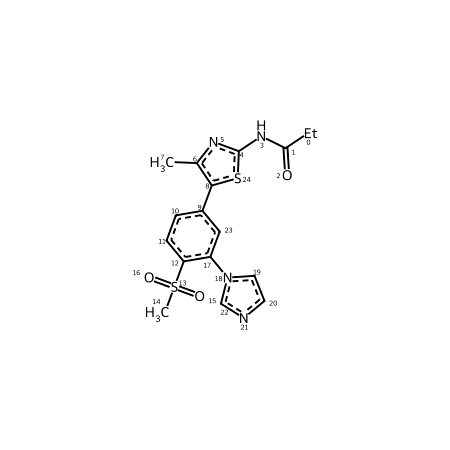 CCC(=O)Nc1nc(C)c(-c2ccc(S(C)(=O)=O)c(-n3ccnc3)c2)s1